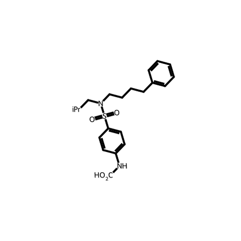 CC(C)CN(CCCCc1ccccc1)S(=O)(=O)c1ccc(NC(=O)O)cc1